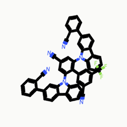 N#Cc1cc(-c2c(-n3c4ccccc4c4ccc(-c5ccccc5C#N)cc43)cc(C#N)cc2-n2c3ccccc3c3ccc(-c4ccccc4C#N)cc32)cc(C(F)(F)F)c1